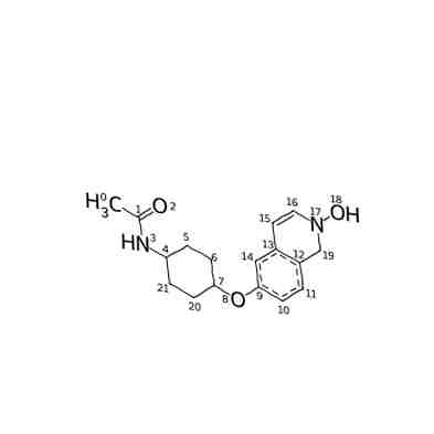 CC(=O)NC1CCC(Oc2ccc3c(c2)C=CN(O)C3)CC1